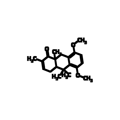 COc1ccc(OC)c2c1CC1(C)C(=O)C(C)=CCC1C2(C)C